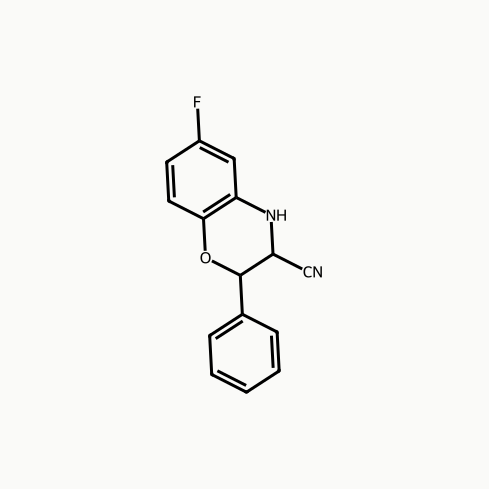 N#CC1Nc2cc(F)ccc2OC1c1ccccc1